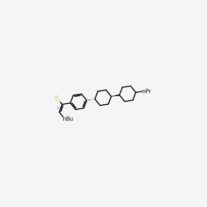 CCCC/C=C(/F)c1ccc([C@H]2CC[C@H](C3CCC(CCC)CC3)CC2)cc1